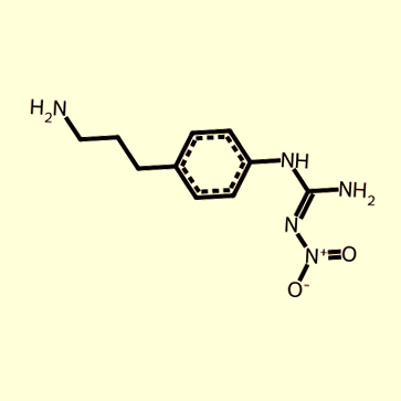 NCCCc1ccc(NC(N)=N[N+](=O)[O-])cc1